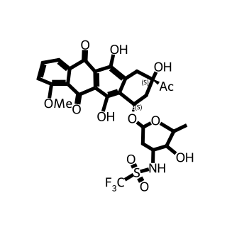 COc1cccc2c1C(=O)c1c(O)c3c(c(O)c1C2=O)C[C@@](O)(C(C)=O)C[C@@H]3OC1CC(NS(=O)(=O)C(F)(F)F)C(O)C(C)O1